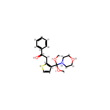 COC(OC)(c1ccsc1CC(=O)c1ccccc1)N1CCOCC1